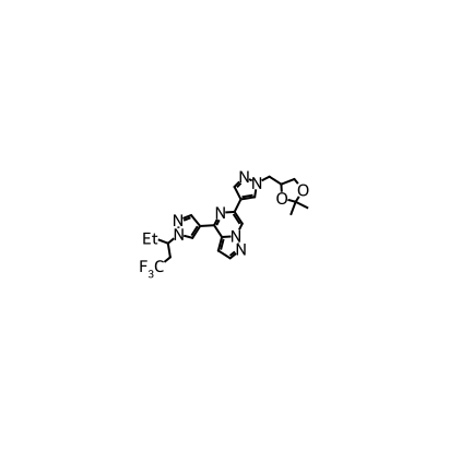 CCC(CC(F)(F)F)n1cc(-c2nc(-c3cnn(CC4COC(C)(C)O4)c3)cn3nccc23)cn1